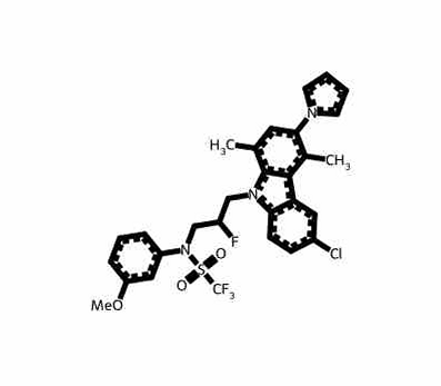 COc1cccc(N(CC(F)Cn2c3ccc(Cl)cc3c3c(C)c(-n4cccc4)cc(C)c32)S(=O)(=O)C(F)(F)F)c1